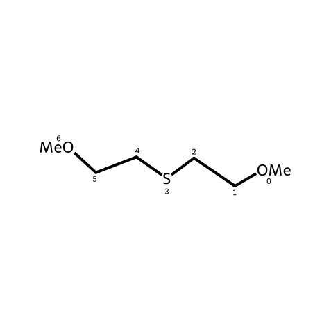 COCCSCCOC